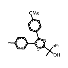 CCCC(C)(O)c1nc(-c2ccc(OC)cc2)c(-c2ccc(C)cc2)s1